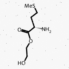 CSCC[C@H](N)C(=O)OCCO